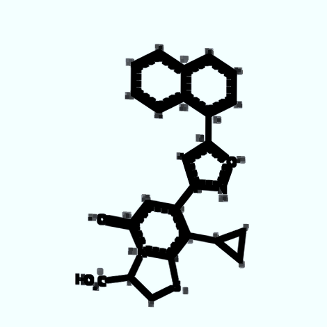 O=C(O)C1CSc2c(C3CC3)c(-c3cc(-c4cccc5ccccc45)on3)cc(=O)n21